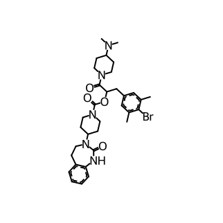 Cc1cc(CC(OC(=O)N2CCC(N3CCc4ccccc4NC3=O)CC2)C(=O)N2CCC(N(C)C)CC2)cc(C)c1Br